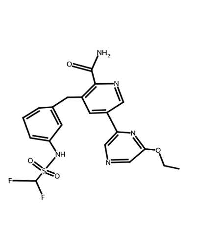 CCOc1cncc(-c2cnc(C(N)=O)c(Cc3cccc(NS(=O)(=O)C(F)F)c3)c2)n1